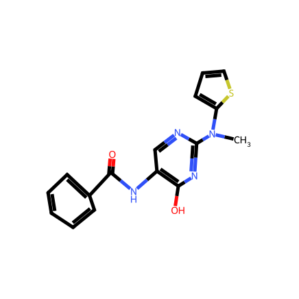 CN(c1ncc(NC(=O)c2ccccc2)c(O)n1)c1cccs1